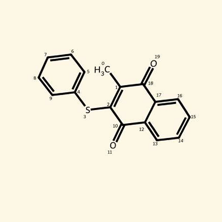 CC1=C(Sc2ccccc2)C(=O)c2ccccc2C1=O